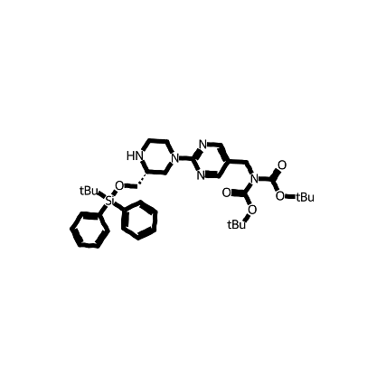 CC(C)(C)OC(=O)N(Cc1cnc(N2CCN[C@@H](CO[Si](c3ccccc3)(c3ccccc3)C(C)(C)C)C2)nc1)C(=O)OC(C)(C)C